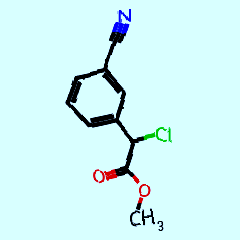 COC(=O)C(Cl)c1cccc(C#N)c1